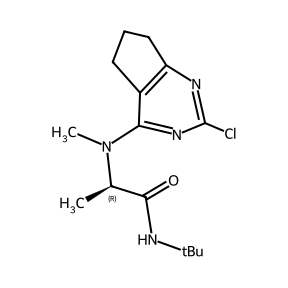 C[C@H](C(=O)NC(C)(C)C)N(C)c1nc(Cl)nc2c1CCC2